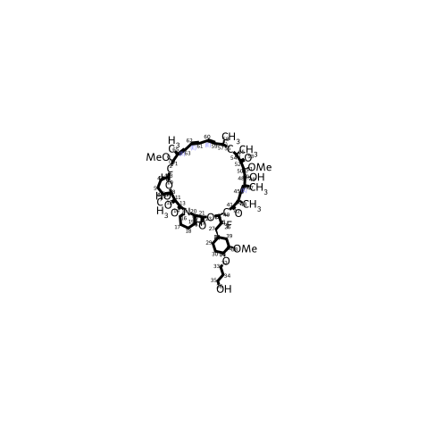 CO[C@H]1C[C@@H]2CC[C@@H](C)[C@@](O)(O2)C(=O)C(=O)N2CCCC[C@H]2C(=O)O[C@H]([C@H](F)C[C@@H]2CC[C@@H](OCCCO)[C@H](OC)C2)CC(=O)[C@H](C)/C=C(\C)[C@@H](O)[C@@H](OC)C(=O)[C@H](C)C[C@H](C)/C=C/C=C/C=C/1C